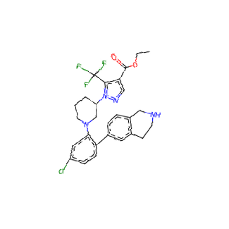 CCOC(=O)c1cnn(C2CCCN(c3cc(Cl)ccc3-c3ccc4c(c3)CCNC4)C2)c1C(F)(F)F